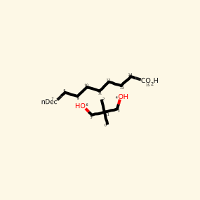 CC(C)(CO)CO.CCCCCCCCCCCCCCCCCC(=O)O